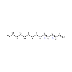 C=C/C=C/C=C/CCCCCCCCC